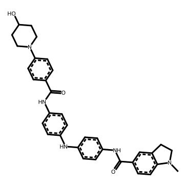 CN1CCc2cc(C(=O)Nc3ccc(Nc4ccc(NC(=O)c5ccc(N6CCC(O)CC6)cc5)cc4)cc3)ccc21